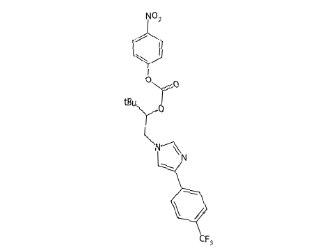 CC(C)(C)C(Cn1cnc(-c2ccc(C(F)(F)F)cc2)c1)OC(=O)Oc1ccc([N+](=O)[O-])cc1